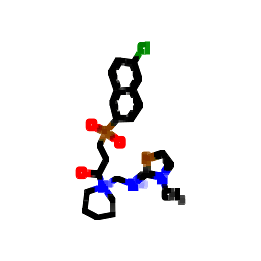 Cn1ccs/c1=N\C[N+]1(C(=O)CCS(=O)(=O)c2ccc3cc(Cl)ccc3c2)CCCCC1